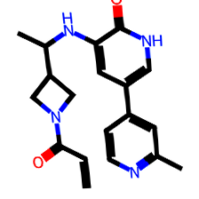 C=CC(=O)N1CC(C(C)Nc2cc(-c3ccnc(C)c3)c[nH]c2=O)C1